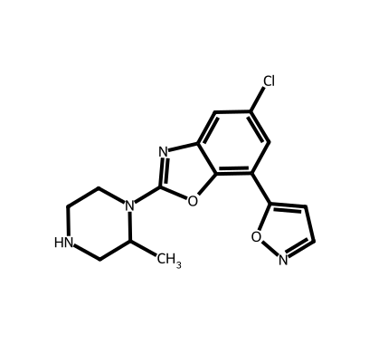 CC1CNCCN1c1nc2cc(Cl)cc(-c3ccno3)c2o1